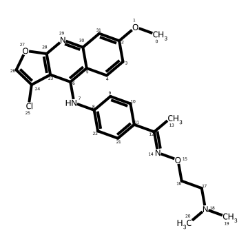 COc1ccc2c(Nc3ccc(/C(C)=N/OCCN(C)C)cc3)c3c(Cl)coc3nc2c1